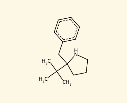 CC(C)(C)C1(Cc2ccccc2)CCCN1